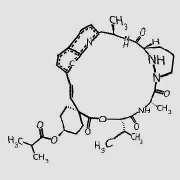 CC(C)C(=O)O[C@H]1CC[C@@]2(/C=C/c3ccc4ccc(nc4c3)[C@@H](C)NC(=O)[C@@H]3CCCN(N3)C(=O)[C@H](C)NC(=O)[C@H](C(C)C)OC2=O)CC1